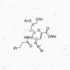 COC(=O)C1=C[C@H](N=[N+]=[N-])[C@@H](NC(=O)CCC(C)C)[C@H]([C@H](C)[C@@H](COC(C)=O)OC(C)=O)O1